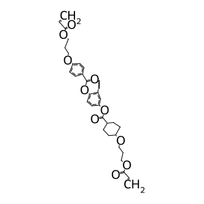 C=CC(=O)OCCCOc1ccc(C(=O)Oc2ccc(OC(=O)C3CCC(OCCCOC(=O)C=C)CC3)cc2I)cc1